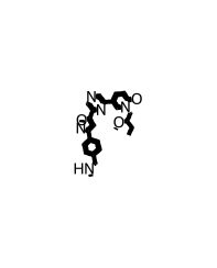 CCC(Cn1cc(-c2cncc(-c3cc(-c4ccc(CNC)cc4)no3)n2)ccc1=O)OC